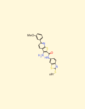 CCCSc1nc2ccc(NC(=O)c3sc4nc(-c5cccc(OC)c5)ccc4c3N)cc2s1